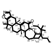 CCCCC1O[C@@]23CCC(C)(C)CC[C@@]1(C)CC[C@@]2(C)[C@]1(C)CC[C@H]2C(C)(C)c4oncc4C[C@]2(C)C1=CC3=O